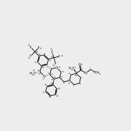 CCOC(=O)[C@]1(C)CCCN(CC2COC[C@@H](O[C@H](C)c3cc(C(F)(F)F)cc(C(F)(F)F)c3)[C@@H]2c2ccccc2)C1